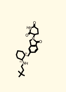 CC(C)(C)CCN[C@H]1CCCC[C@@H]1Cc1ccc2c(c1)CN(C1CCC(=O)NC1=O)C2=O